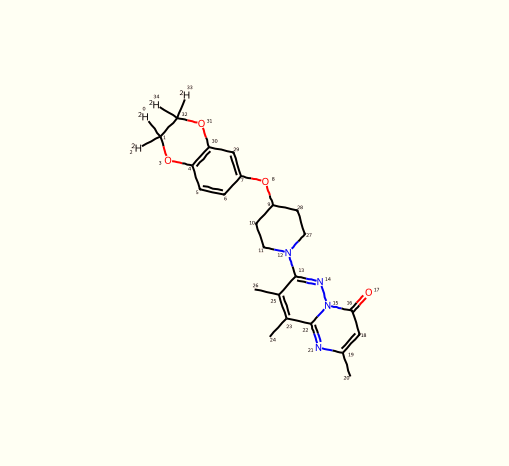 [2H]C1([2H])Oc2ccc(OC3CCN(c4nn5c(=O)cc(C)nc5c(C)c4C)CC3)cc2OC1([2H])[2H]